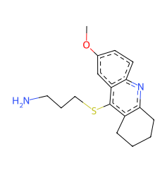 COc1ccc2nc3c(c(SCCCN)c2c1)CCCC3